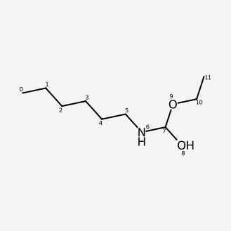 CCCCCCNC(O)OCC